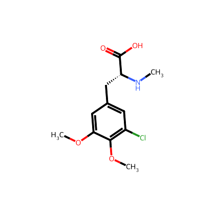 CN[C@H](Cc1cc(Cl)c(OC)c(OC)c1)C(=O)O